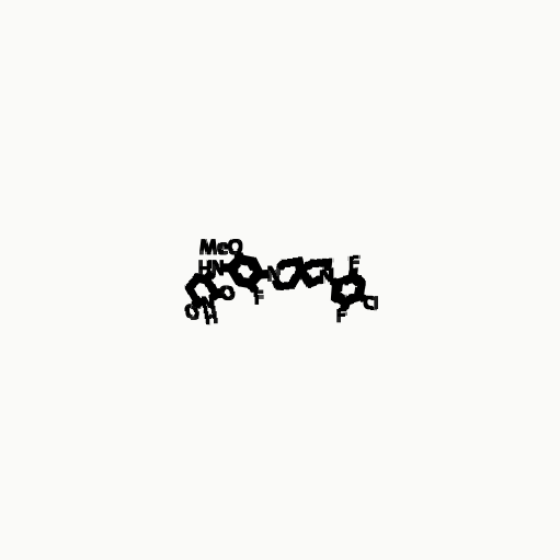 COc1cc(N2CCC3(CC2)CCN(c2cc(F)c(Cl)cc2F)C3)c(F)cc1NC1CCC(=O)NC1=O